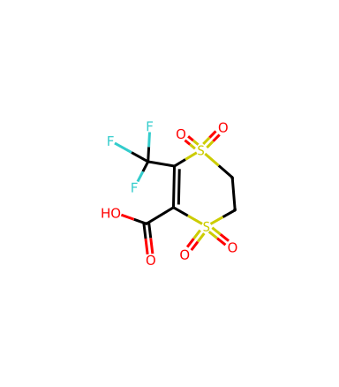 O=C(O)C1=C(C(F)(F)F)S(=O)(=O)CCS1(=O)=O